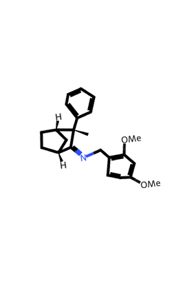 COc1ccc(C/N=C2/[C@@H]3CC[C@@H](C3)[C@]2(C)c2ccccc2)c(OC)c1